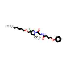 CCOC(=O)CC/C=C/COCC1(F)C[C@H](C(=O)O)N(C(=O)CNC(=O)CCCOc2ccccc2)C1